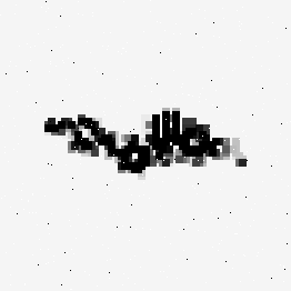 CC(=O)N1CCN(CCc2cccc(NC(=O)Nc3ccc(C)nc3)c2)CC1